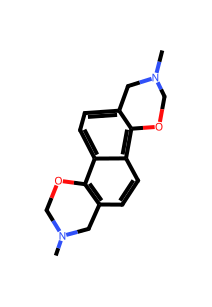 CN1COc2c(ccc3c4c(ccc23)CN(C)CO4)C1